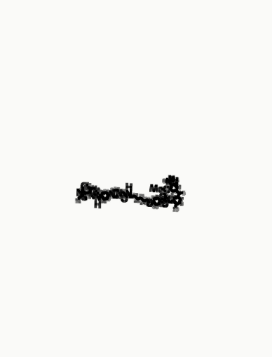 COc1cc(C(C)c2ccc(C)c(CN(C)S(=O)(=O)c3ccc(OCCCCCCNC(=O)CN4CCN(c5ccc(Nc6ncc(Cl)c(-c7sc(C)nc7C)n6)cc5)CC4)cc3)c2)cc2nnn(C)c12